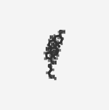 C[C@]12CC[C@H](O)C[C@H]1CC[C@@H]1[C@@H]2CC[C@]2(C)[C@@H](NOCCN)CC[C@]12O